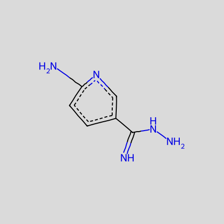 N=C(NN)c1ccc(N)nc1